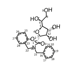 O=S(=O)([C@@H]1O[C@@H]([C@@H](O)CO)[C@H](O)[C@H]1O)N(Cc1ccccc1)Cc1ccccc1